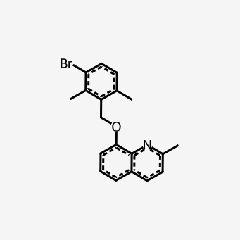 Cc1ccc2cccc(OCc3c(C)ccc(Br)c3C)c2n1